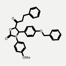 COc1ccc(N2C(=O)OC(C(=O)CCc3ccccc3)C2c2ccc(OCc3ccccc3)cc2)cc1